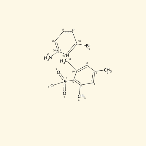 Cc1cc(C)c(S(=O)(=O)[O-])c(C)c1.N[n+]1cccc(Br)n1